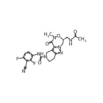 CC(=O)NC[C@H]1Cn2nc3c(c2C(=O)N(C)O1)CN(C(=O)Nc1ccc(F)c(C#N)c1F)CC3